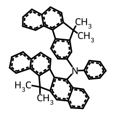 CC1(C)c2cc(N(c3ccccc3)c3c4c(cc5ccccc35)C(C)(C)c3c-4ccc4ccccc34)ccc2-c2c1ccc1ccccc21